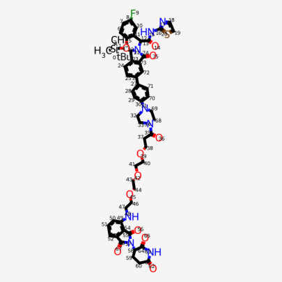 CC(C)(C)[Si](C)(C)Oc1ccc(F)cc1C(C(=O)Nc1nccs1)N1Cc2ccc(-c3ccc(N4CCN(C(=O)CCOCCOCCOCCNc5cccc6c5C(=O)N(C5CCC(=O)NC5=O)C6=O)CC4)cc3)cc2C1=O